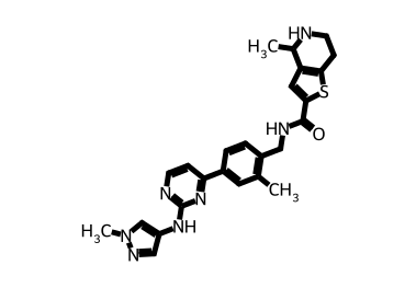 Cc1cc(-c2ccnc(Nc3cnn(C)c3)n2)ccc1CNC(=O)c1cc2c(s1)CCNC2C